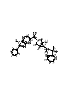 Cn1c(-c2ccccc2)nc2nc(C(=O)N3C[C@@H]4C(COc5cccnc5C(F)(F)F)[C@@H]4C3)cnc21